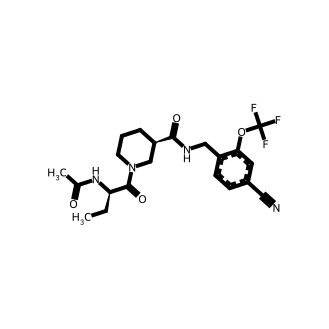 CC[C@@H](NC(C)=O)C(=O)N1CCC[C@@H](C(=O)NCc2ccc(C#N)cc2OC(F)(F)F)C1